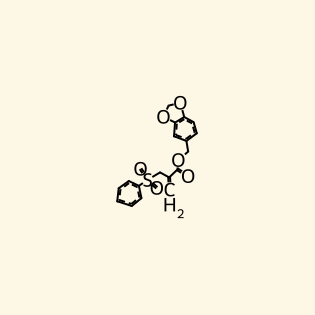 C=C(CS(=O)(=O)c1ccccc1)C(=O)OCc1ccc2c(c1)OCO2